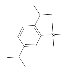 CC(C)c1ccc(C(C)C)c([Si](C)(C)C)c1